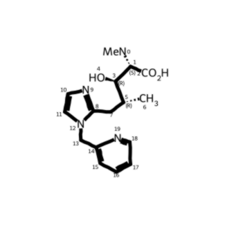 CN[C@H](C(=O)O)[C@H](O)[C@H](C)Cc1nccn1Cc1ccccn1